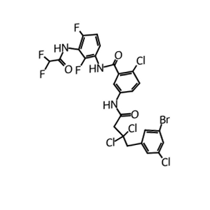 O=C(CC(Cl)(Cl)Cc1cc(Cl)cc(Br)c1)Nc1ccc(Cl)c(C(=O)Nc2ccc(F)c(NC(=O)C(F)F)c2F)c1